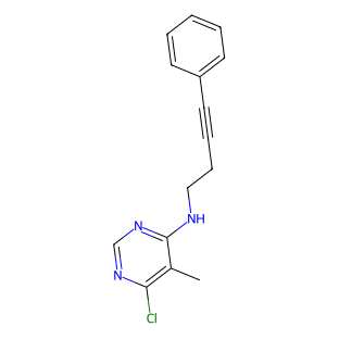 Cc1c(Cl)ncnc1NCCC#Cc1ccccc1